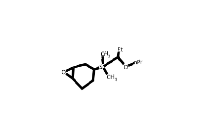 CCCOC(CC)[Si](C)(C)C1CCC2OC2C1